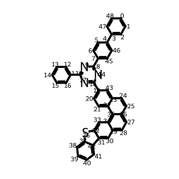 c1ccc(-c2ccc(-c3nc(-c4ccccc4)nc(-c4ccc5c(ccc6ccc7cc8c(cc7c65)sc5ccccc58)c4)n3)cc2)cc1